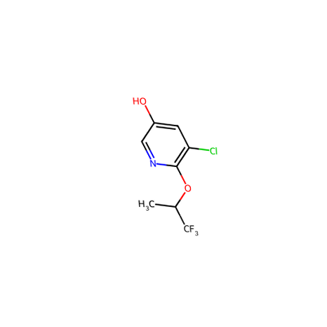 CC(Oc1ncc(O)cc1Cl)C(F)(F)F